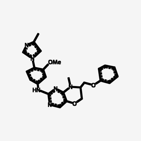 COc1cc(Nc2ncc3c(n2)N(C)C(COc2ccccc2)CO3)ccc1-n1cnc(C)c1